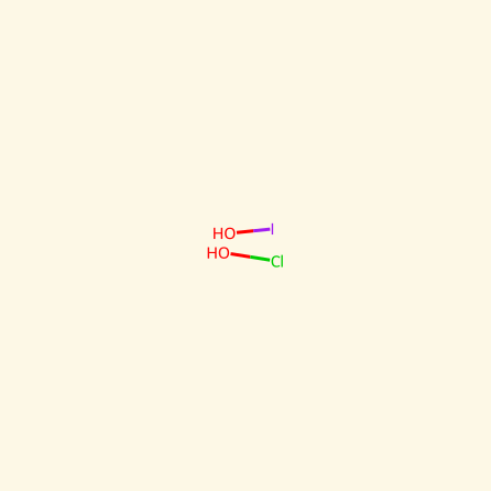 OCl.OI